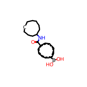 O=C(NC1CCCCCCCCC1)c1ccccc(B(O)O)cccc1